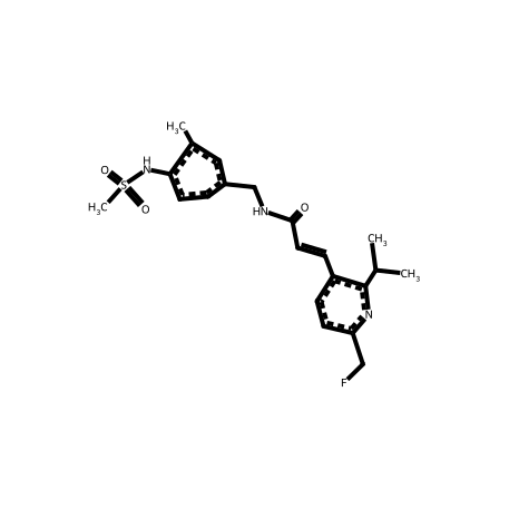 Cc1cc(CNC(=O)C=Cc2ccc(CF)nc2C(C)C)ccc1NS(C)(=O)=O